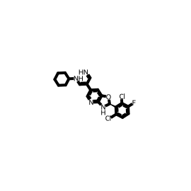 N=C/C(=C\NC1CCCCC1)c1cnc2c(c1)O[C@@H](c1c(Cl)ccc(F)c1Cl)N2